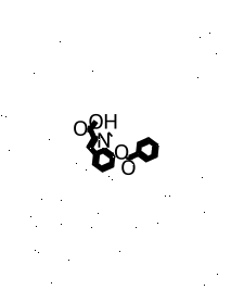 Cn1c(C(=O)O)cc2cccc(OC(=O)c3ccccc3)c21